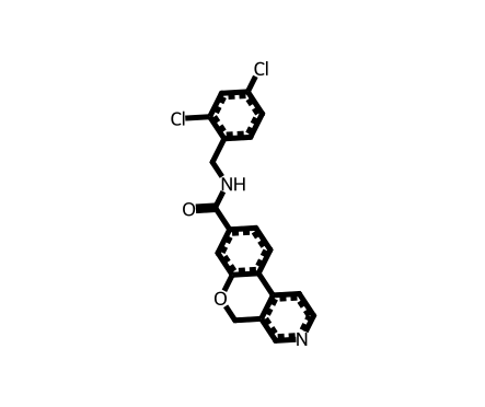 O=C(NCc1ccc(Cl)cc1Cl)c1ccc2c(c1)OCc1cnccc1-2